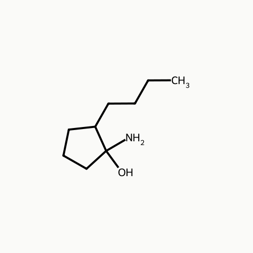 CCCCC1CCCC1(N)O